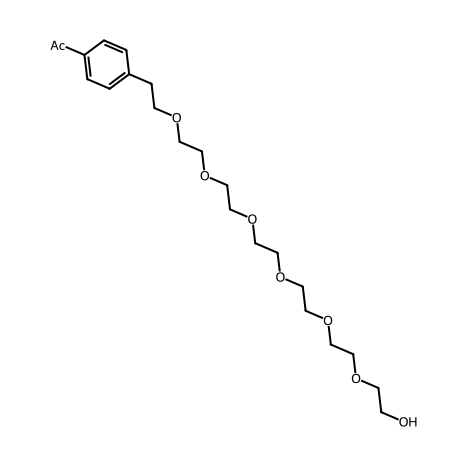 CC(=O)c1ccc(CCOCCOCCOCCOCCOCCOCCO)cc1